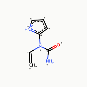 C=CN(C(N)=O)c1ccc[nH]1